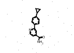 NC(=O)c1ccnc(-c2ccc(C3CC3)cc2)c1